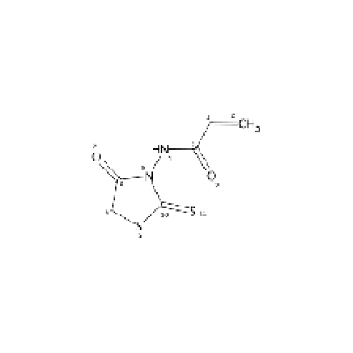 C=CC(=O)NN1C(=O)CSC1=S